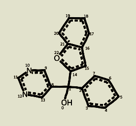 OC(c1ccccc1)(c1cncnc1)c1cc2ccccc2o1